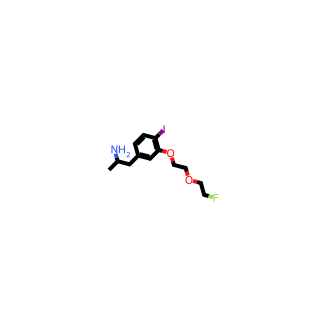 CC(N)Cc1ccc(I)c(OCCOCCF)c1